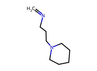 C=NCCCN1CCCCC1